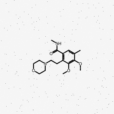 CNC(=O)c1cc(C)c(OC)c(OC)c1CCN1CCOCC1